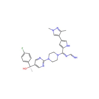 Cc1nn(C)cc1-c1c[nH]c(/C(=N\C=N)N2CCN(c3ncc([C@@](C)(O)c4ccc(F)cc4)cn3)CC2)c1